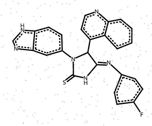 Fc1ccc(N=C2NC(=S)N(c3ccc4[nH]cnc4c3)C2c2ccnc3ccccc23)cc1